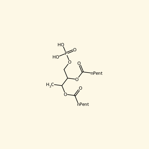 CCCCCC(=O)OC(C)C(COP(=O)(O)O)OC(=O)CCCCC